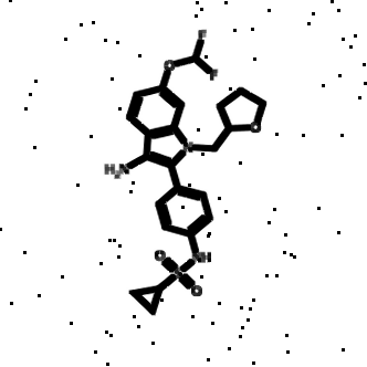 Nc1c(-c2ccc(NS(=O)(=O)C3CC3)cc2)n(CC2CCCO2)c2cc(OC(F)F)ccc12